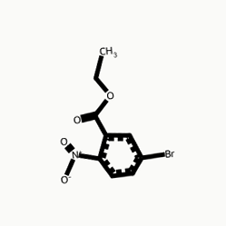 CCOC(=O)c1cc(Br)ccc1[N+](=O)[O-]